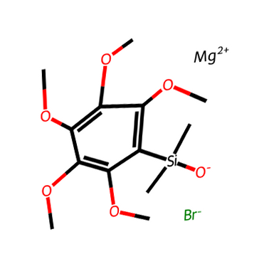 COc1c(OC)c(OC)c([Si](C)(C)[O-])c(OC)c1OC.[Br-].[Mg+2]